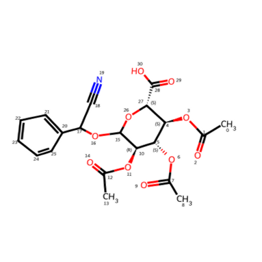 CC(=O)O[C@H]1[C@H](OC(C)=O)[C@@H](OC(C)=O)C(OC(C#N)c2ccccc2)O[C@@H]1C(=O)O